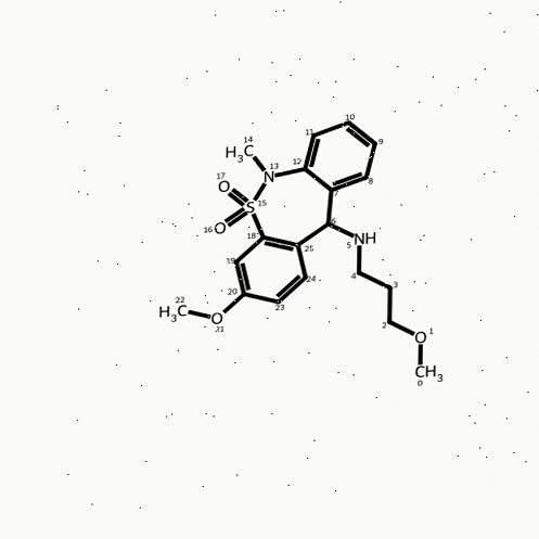 COCCCNC1c2ccccc2N(C)S(=O)(=O)c2cc(OC)ccc21